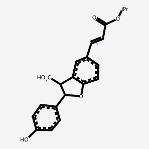 CC(C)OC(=O)/C=C/c1ccc2c(c1)C(C(=O)O)C(c1ccc(O)cc1)O2